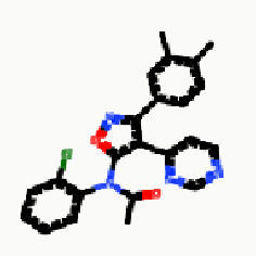 CC(=O)N(c1ccccc1Cl)c1onc(-c2ccc(C)c(C)c2)c1-c1ccncn1